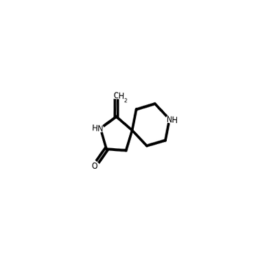 C=C1NC(=O)CC12CCNCC2